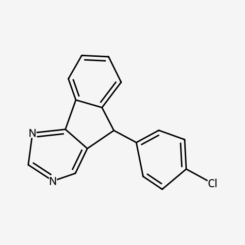 Clc1ccc(C2c3ccccc3-c3ncncc32)cc1